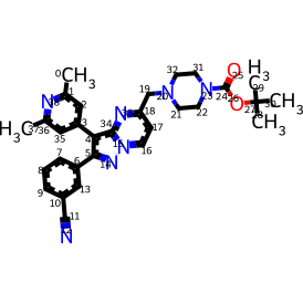 Cc1cc(-c2c(-c3cccc(C#N)c3)nn3ccc(CN4CCN(C(=O)OC(C)(C)C)CC4)nc23)cc(C)n1